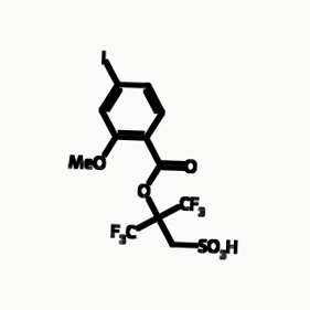 COc1cc(I)ccc1C(=O)OC(CS(=O)(=O)O)(C(F)(F)F)C(F)(F)F